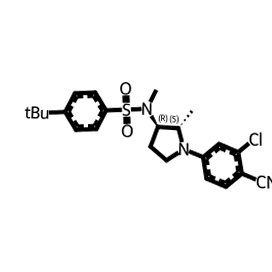 C[C@H]1[C@H](N(C)S(=O)(=O)c2ccc(C(C)(C)C)cc2)CCN1c1ccc(C#N)c(Cl)c1